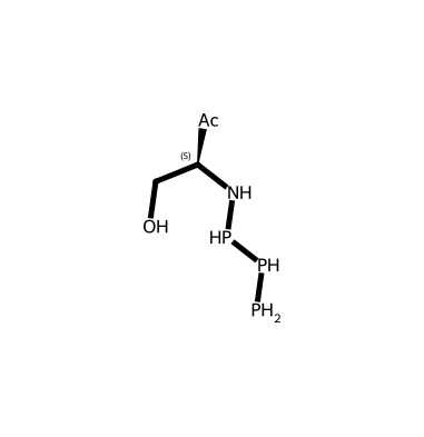 CC(=O)[C@H](CO)NPPP